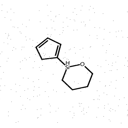 C1=CCC([SiH]2CCCCO2)=C1